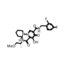 COC[C@@H](C)N1C(=O)c2c(O)c(=O)c(C(=O)NCc3ccc(F)cc3F)cn2N2CCCC[C@@H]12